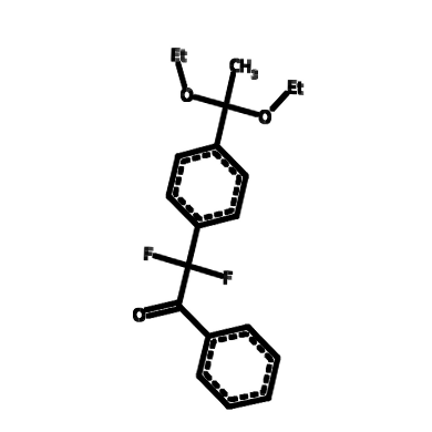 CCOC(C)(OCC)c1ccc(C(F)(F)C(=O)c2ccccc2)cc1